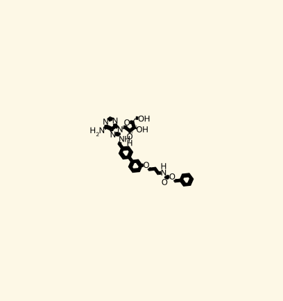 Nc1ncnc2c1nc(NCc1ccc(-c3cccc(OCCCNC(=O)OCc4ccccc4)c3)cc1)n2[C@@H]1O[C@H](CO)[C@@H](O)[C@@H]1O